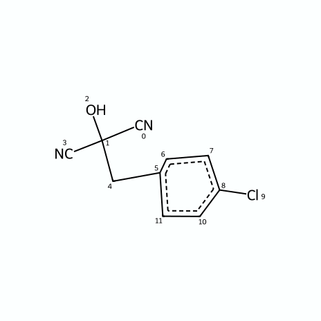 N#CC(O)(C#N)Cc1ccc(Cl)cc1